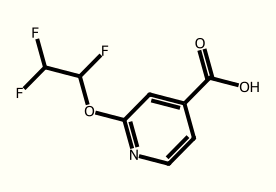 O=C(O)c1ccnc(OC(F)C(F)F)c1